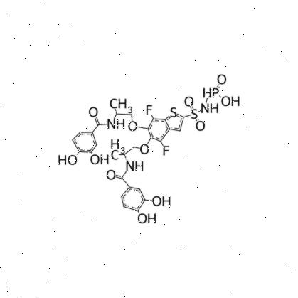 CC(COc1c(OCC(C)NC(=O)c2ccc(O)c(O)c2)c(F)c2sc(S(=O)(=O)NC[PH](=O)O)cc2c1F)NC(=O)c1ccc(O)c(O)c1